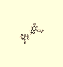 O=C(NCc1cc2cc(Cl)cc(C(=O)O)c2o1)c1cncnc1O